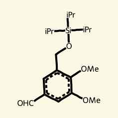 COc1cc(C=O)cc(CO[Si](C(C)C)(C(C)C)C(C)C)c1OC